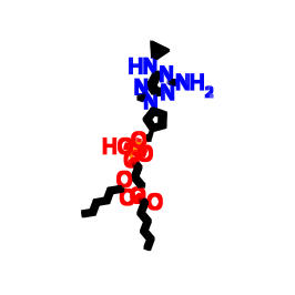 CCCCCC(=O)OCC(COP(=O)(O)OC[C@@H]1C=C[C@H](n2cnc3c(NC4CC4)nc(N)nc32)C1)OC(=O)CCCCC